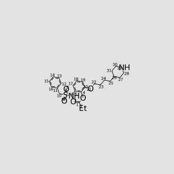 CCC(=O)Oc1c(NS(=O)(=O)Cc2ccccc2)cccc1OCCCCC1CCNCC1